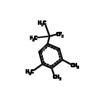 Cc1cc(C(C)(C(F)(F)F)C(F)(F)F)cc(C)c1C